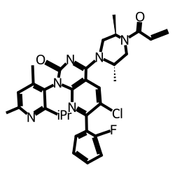 C=CC(=O)N1C[C@H](C)N(c2nc(=O)n(-c3c(C)cc(C)nc3C(C)C)c3nc(-c4ccccc4F)c(Cl)cc23)C[C@H]1C